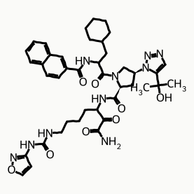 CC(C)(O)c1cnnn1[C@H]1C[C@@H](C(=O)NC(CCCCNC(=O)Nc2ccon2)C(=O)C(N)=O)N(C(=O)C(CC2CCCCC2)NC(=O)c2ccc3ccccc3c2)C1